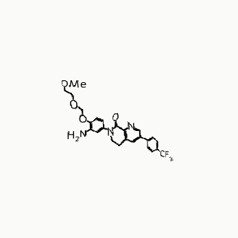 COCCOCOc1ccc(N2CCc3cc(-c4ccc(C(F)(F)F)cc4)cnc3C2=O)cc1N